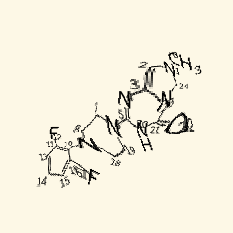 CN1C=C2N=C(N3CCN(c4c(F)cccc4F)CC3)NC(=O)N2C1